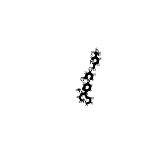 Cn1c2c(c3ccc(-n4ccc(OCc5ccc(C(F)(F)F)cn5)cc4=O)cc31)C1CCCN1CC2